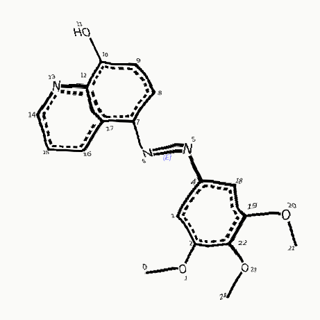 COc1cc(/N=N/c2ccc(O)c3ncccc23)cc(OC)c1OC